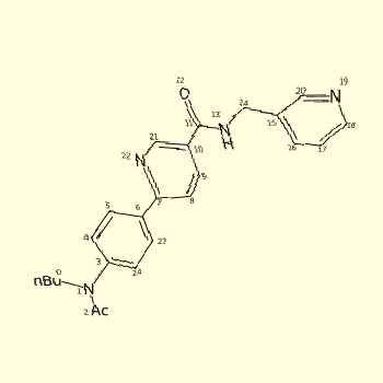 CCCCN(C(C)=O)c1ccc(-c2ccc(C(=O)NCc3cccnc3)cn2)cc1